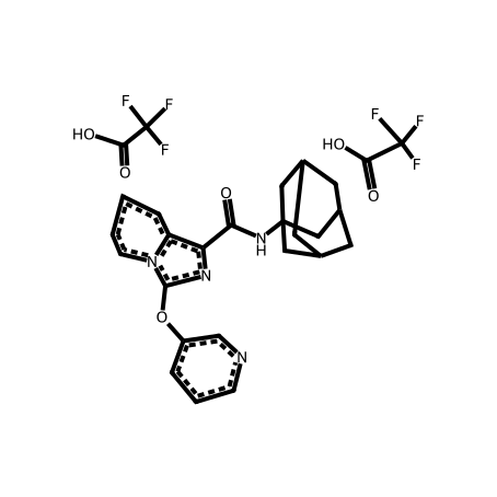 O=C(NC12CC3CC(CC(C3)C1)C2)c1nc(Oc2cccnc2)n2ccccc12.O=C(O)C(F)(F)F.O=C(O)C(F)(F)F